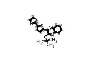 CC(C)(C)Oc1nc2ccccc2nc1C1=CCC(c2nccs2)S1